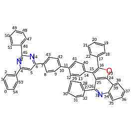 c1ccc(-c2cc(-c3ccc(-c4ccc(-c5c(-c6ccccc6)oc6c5c(-c5ccccc5)nc5ccccc56)cc4)cc3)nc(-c3ccccc3)n2)cc1